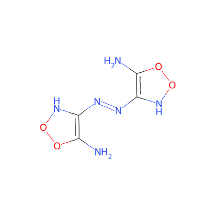 NC1=C(N=NC2=C(N)OON2)NOO1